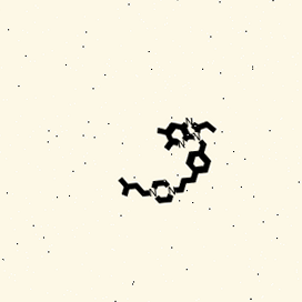 CCc1nc2cc(C)c(C)nc2n1Cc1ccc(CCCN2CCN(CCC(C)C)CC2)cc1